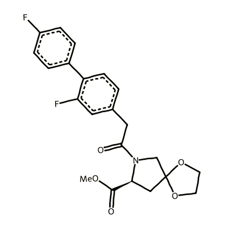 COC(=O)[C@@H]1CC2(CN1C(=O)Cc1ccc(-c3ccc(F)cc3)c(F)c1)OCCO2